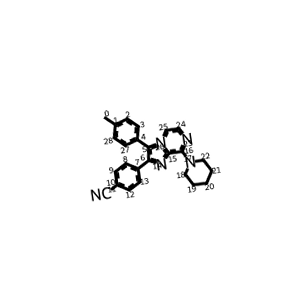 Cc1ccc(-c2c(-c3ccc(C#N)cc3)nc3c(N4CCCCC4)nccn23)cc1